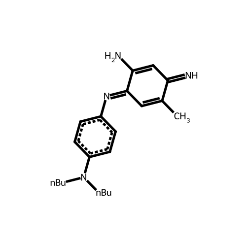 CCCCN(CCCC)c1ccc(N=C2C=C(C)C(=N)C=C2N)cc1